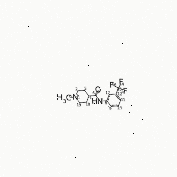 CN1CCC(C(=O)Nc2[c]ccc(C(F)(F)F)c2)CC1